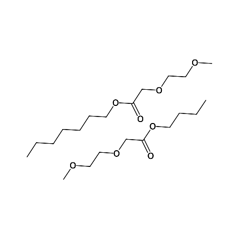 CCCCCCCOC(=O)COCCOC.CCCCOC(=O)COCCOC